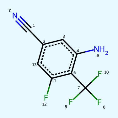 N#Cc1cc(N)c(C(F)(F)F)c(F)c1